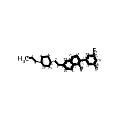 CCC[C@H]1CC[C@H](CCc2ccc3c(F)c(-c4cc(F)cc(F)c4)ccc3c2)CC1